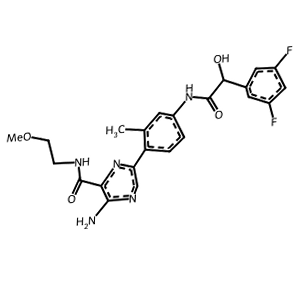 COCCNC(=O)c1nc(-c2ccc(NC(=O)C(O)c3cc(F)cc(F)c3)cc2C)cnc1N